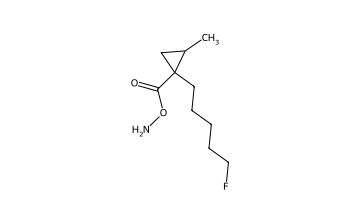 CC1CC1(CCCCCF)C(=O)ON